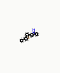 c1ccc(-c2ccc3sc4c(-c5ccc6c(c5)[nH]c5ccccc56)cccc4c3c2)cc1